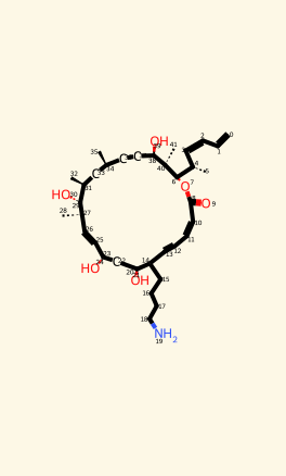 C=C/C=C\[C@H](C)[C@@H]1OC(=O)/C=C\C=C\C(CCCCN)[C@@H](O)C[C@H](O)/C=C\[C@H](C)[C@H](O)[C@@H](C)C[C@@H](C)CC[C@@H](O)[C@@H]1C